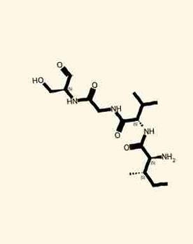 CC[C@H](C)[C@H](N)C(=O)N[C@H](C(=O)NCC(=O)N[C@H]([C]=O)CO)C(C)C